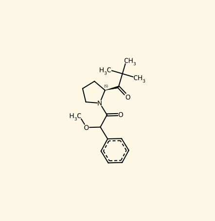 COC(C(=O)N1CCC[C@H]1C(=O)C(C)(C)C)c1ccccc1